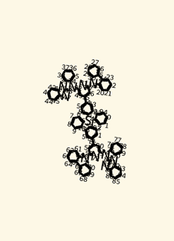 c1ccc([Si](c2ccccc2)(c2ccc(-c3cc(-n4c5ccccc5c5ccccc54)nc(-n4c5ccccc5n5c6ccccc6nc45)c3)cc2)c2ccc(-c3cc(-n4c5ccccc5c5ccccc54)nc(-n4c5ccccc5n5c6ccccc6nc45)c3)cc2)cc1